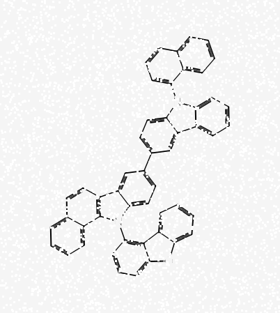 c1ccc2c(-n3c4ccccc4c4cc(-c5ccc6c(c5)c5ccc7ccccc7c5n6-c5cccc6oc7ccccc7c56)ccc43)cccc2c1